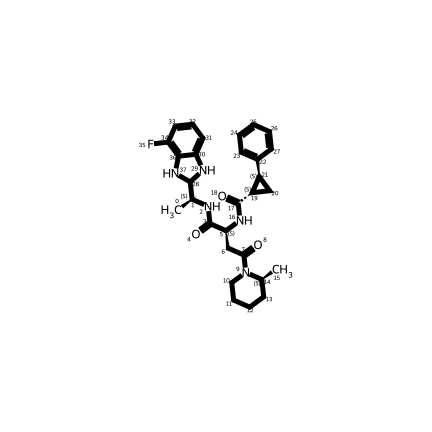 C[C@H](NC(=O)[C@H](CC(=O)N1CCCC[C@@H]1C)NC(=O)[C@H]1C[C@@H]1c1ccccc1)C1Nc2cccc(F)c2N1